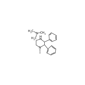 CN(C)C.IN1CCNC(c2ccccc2)C1c1ccccc1